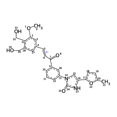 COc1cc(/C=C/C(=O)c2cccc(-n3cc(-c4ccc(C)o4)[nH]c3=O)c2)cc(CO)c1CO